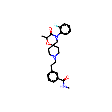 CNC(=O)c1cccc(CCN2CCC3(CC2)CN(c2ccccc2F)C(=O)C(C)O3)c1